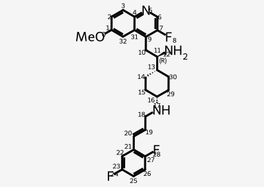 COc1ccc2ncc(F)c(C[C@@H](N)[C@H]3CC[C@@H](NCC=Cc4cc(F)ccc4F)CC3)c2c1